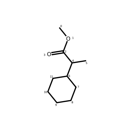 COC(=O)C(C)C1CCCCC1